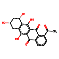 CC(=O)c1cccc2c1C(=O)c1c(O)c3c(c(O)c1C2=O)C[C@H](O)C[C@@H]3O